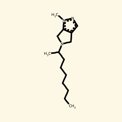 CCCCCCCC(C)N1Cc2cnn(C)c2C1